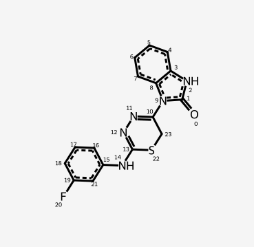 O=c1[nH]c2ccccc2n1C1=NN=C(Nc2cccc(F)c2)SC1